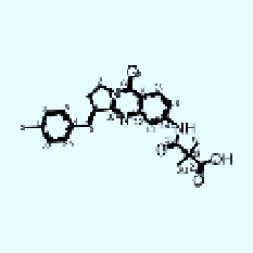 Cc1ccc(C=C2CCn3c2nc2cc(NC(=O)C(C)(C)C(=O)O)ccc2c3=O)cc1